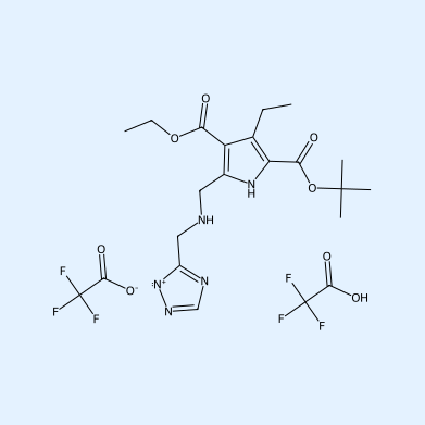 CCOC(=O)c1c(CNCC2=NC=N[N+]2)[nH]c(C(=O)OC(C)(C)C)c1CC.O=C(O)C(F)(F)F.O=C([O-])C(F)(F)F